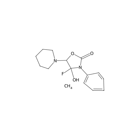 C.O=C1OC(N2CCCCC2)C(O)(F)N1c1ccccc1